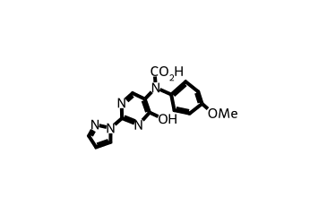 COc1ccc(N(C(=O)O)c2cnc(-n3cccn3)nc2O)cc1